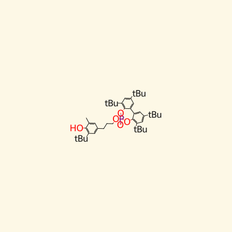 Cc1cc(CCCOP2(=O)Oc3c(cc(C(C)(C)C)cc3C(C)(C)C)-c3cc(C(C)(C)C)cc(C(C)(C)C)c3O2)cc(C(C)(C)C)c1O